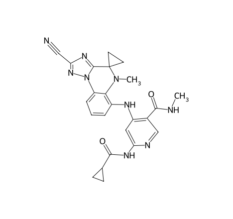 CNC(=O)c1cnc(NC(=O)C2CC2)cc1Nc1cccc2c1N(C)C1(CC1)c1nc(C#N)nn1-2